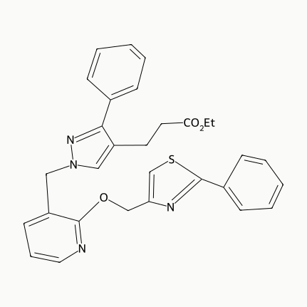 CCOC(=O)CCc1cn(Cc2cccnc2OCc2csc(-c3ccccc3)n2)nc1-c1ccccc1